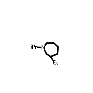 CCC1CCCCN(C(C)C)C1